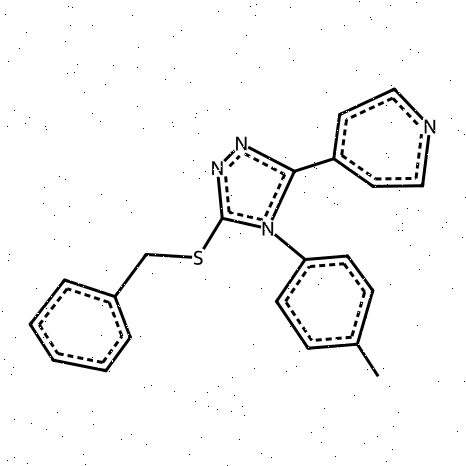 Cc1ccc(-n2c(SCc3ccccc3)nnc2-c2ccncc2)cc1